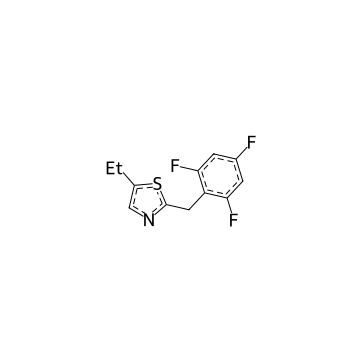 CCc1cnc(Cc2c(F)cc(F)cc2F)s1